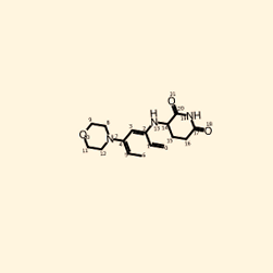 C=C/C(=C\C(=C/C)N1CCOCC1)NC1CCC(=O)NC1=O